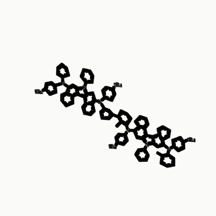 Cc1ccccc1N(c1ccc(C(C)(C)C)cc1)c1cc2c(c3ccccc13)c1c3ccccc3c(N(c3ccc(C(C)(C)C)cc3)c3cccc(-c4cccc(N(c5ccc(C(C)(C)C)cc5)c5cc6c(c7ccccc57)c5c7ccccc7c(N(c7ccccc7)c7ccc(C(C)(C)C)cc7)cc5n6-c5ccccc5)c4)c3C)cc1n2-c1ccccc1